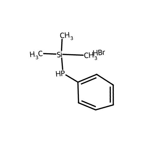 Br.C[Si](C)(C)Pc1ccccc1